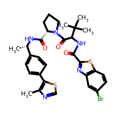 Cc1ncsc1-c1ccc([C@H](C)NC(=O)[C@@H]2CCCN2C(=O)C(NC(=O)c2nc3cc(Br)ccc3s2)C(C)(C)C)cc1